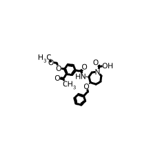 COCOc1ccc(C(=O)N[C@@H]2CN(C(=O)O)CCC[C@H]2OCc2ccccc2)cc1C(C)=O